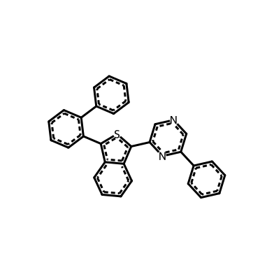 c1ccc(-c2cncc(-c3sc(-c4ccccc4-c4ccccc4)c4ccccc34)n2)cc1